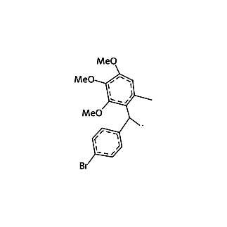 [CH2]C(c1ccc(Br)cc1)c1c(C)cc(OC)c(OC)c1OC